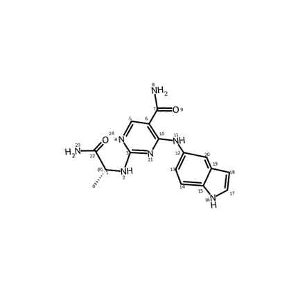 C[C@@H](Nc1ncc(C(N)=O)c(Nc2ccc3[nH]ccc3c2)n1)C(N)=O